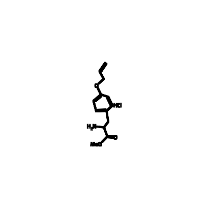 C=CCOc1ccc(CC(N)C(=O)OC)cc1.Cl